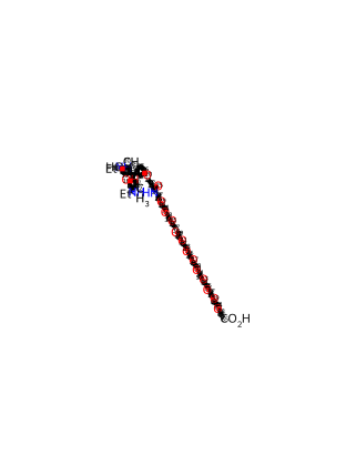 CCNC1=CC/C(=C(\c2cc(C)c(NCC)cc2O)c2cc(OCCCC(=O)NCCOCCOCCOCCOCCOCCOCCOCCOCCOCCOCCOCCOCCC(=O)O)ccc2C(=O)O)C=C1C